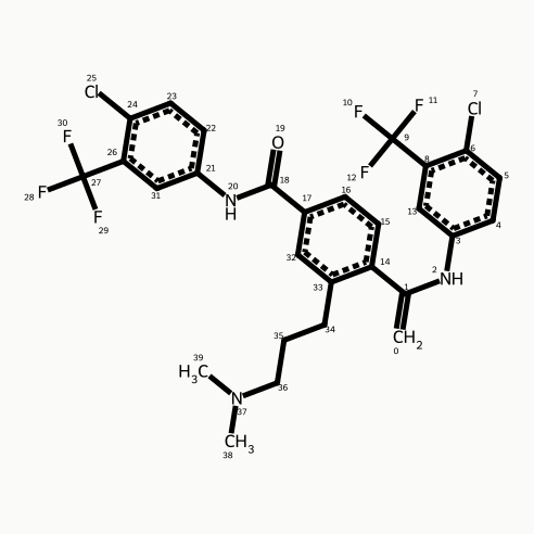 C=C(Nc1ccc(Cl)c(C(F)(F)F)c1)c1ccc(C(=O)Nc2ccc(Cl)c(C(F)(F)F)c2)cc1CCCN(C)C